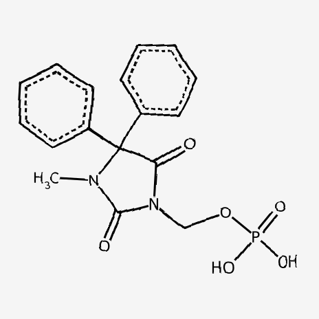 CN1C(=O)N(COP(=O)(O)O)C(=O)C1(c1ccccc1)c1ccccc1